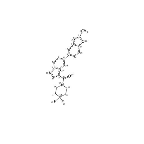 Cc1nc2cc(-c3ccc4ncc(C(=O)N5CCC(F)(F)CC5)n4c3)ccc2o1